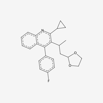 CC(CC1OCCO1)c1c(C2CC2)nc2ccccc2c1-c1ccc(F)cc1